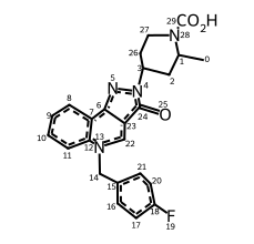 CC1CC(n2nc3c4ccccc4n(Cc4ccc(F)cc4)cc-3c2=O)CCN1C(=O)O